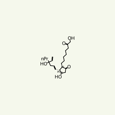 C=CC(O)(CC=C[C@H]1[C@H](O)CC(=O)[C@@H]1CCCCCCC(=O)CO)CCC